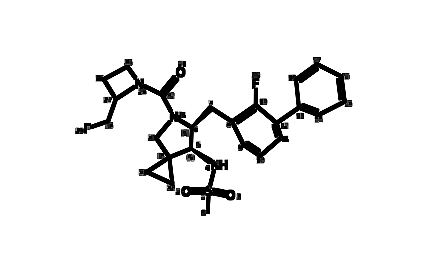 CS(=O)(=O)N[C@@H]1[C@H](Cc2cccc(-c3ccccc3)c2F)N(C(=O)N2CCC2CF)CC12CC2